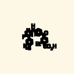 CCC1CN(C(=O)c2ccc(Nc3ncc(F)c(-c4ccc5scnc5c4)n3)nc2)CCN1C(=O)O